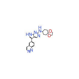 c1cc2cc(-c3c[nH]c4nc(NC5CCC6(CC5)OCCO6)ncc34)ccc2nn1